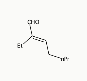 CCCCC=C(C=O)CC